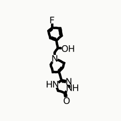 O=C1CNC(C2=CCN(CC(O)c3ccc(F)cc3)CC2)=NN1